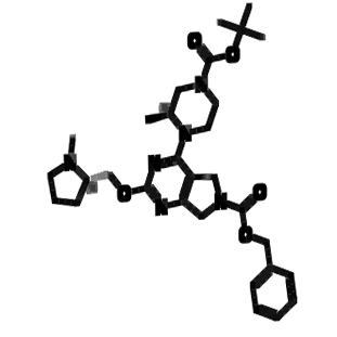 C[C@H]1CN(C(=O)OC(C)(C)C)CCN1c1nc(OC[C@@H]2CCCN2C)nc2c1CN(C(=O)OCc1ccccc1)C2